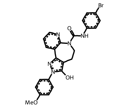 COc1ccc(-n2nc3c(c2O)CCN(C(=O)Nc2ccc(Br)cc2)c2ncccc2-3)cc1